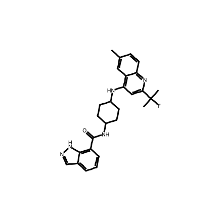 Cc1ccc2nc(C(C)(C)F)cc(NC3CCC(NC(=O)c4cccc5cn[nH]c45)CC3)c2c1